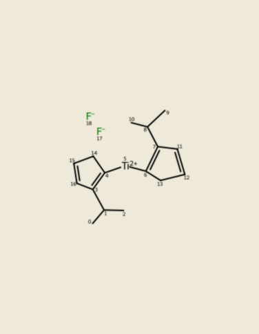 CC(C)C1=[C]([Ti+2][C]2=C(C(C)C)C=CC2)CC=C1.[F-].[F-]